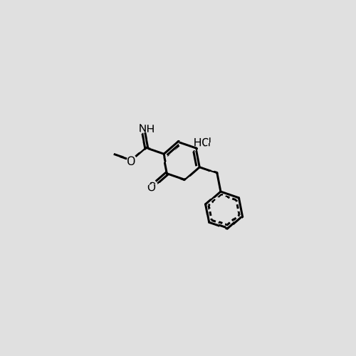 COC(=N)C1=CC=C(Cc2ccccc2)CC1=O.Cl